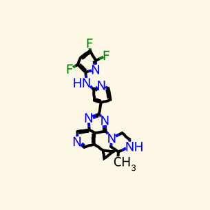 CC1CN(c2nc(-c3ccnc(Nc4nc(F)c(F)cc4F)c3)nc3cncc(C4CC4)c23)CCN1